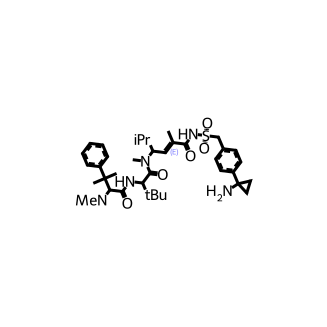 CNC(C(=O)NC(C(=O)N(C)C(/C=C(\C)C(=O)NS(=O)(=O)Cc1ccc(C2(N)CC2)cc1)C(C)C)C(C)(C)C)C(C)(C)c1ccccc1